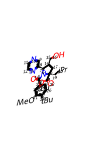 COc1cc(C(=O)N2[C@@H](c3cnccn3)[C@@H](CO)C[C@@]2(CC(C)C)C(=O)OC(C)(C)C)ccc1C(C)(C)C